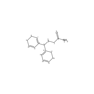 NC(=O)CSC(C1=CCCC=C1)C1=CC=CCC1